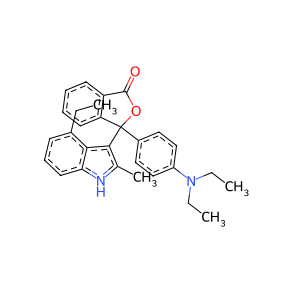 CCc1cccc2[nH]c(C)c(C3(c4ccc(N(CC)CC)cc4)OC(=O)c4ccccc43)c12